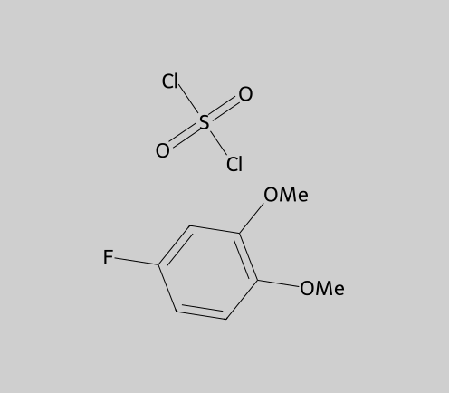 COc1ccc(F)cc1OC.O=S(=O)(Cl)Cl